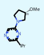 CO[C@H]1CCN(c2cncc(C(C)C)n2)C1